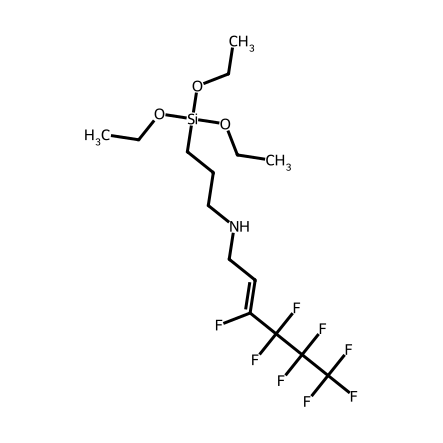 CCO[Si](CCCNCC=C(F)C(F)(F)C(F)(F)C(F)(F)F)(OCC)OCC